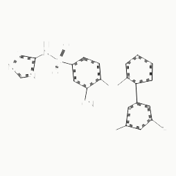 N#Cc1cc(S(=O)(=O)Nc2ncns2)ccc1Oc1ccccc1-c1cc(F)cc(F)c1